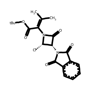 CC(C)=C(C(=O)OC(C)(C)C)N1C(=O)[C@H](N2C(=O)c3ccccc3C2=O)[C@@H]1Cl